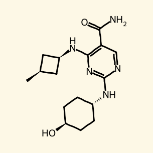 C[C@H]1C[C@@H](Nc2nc(N[C@H]3CC[C@H](O)CC3)ncc2C(N)=O)C1